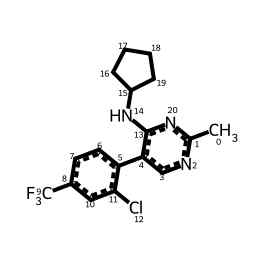 Cc1ncc(-c2ccc(C(F)(F)F)cc2Cl)c(NC2CCCC2)n1